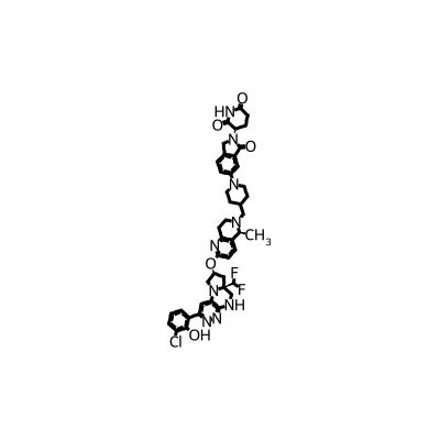 C[C@H]1c2ccc(O[C@H]3CN4c5cc(-c6cccc(Cl)c6O)nnc5NC[C@@]4(C(F)F)C3)nc2CCN1CC1CCN(c2ccc3c(c2)C(=O)N([C@H]2CCC(=O)NC2=O)C3)CC1